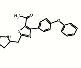 NC(=O)c1sc(CC2CCCN2)nc1-c1ccc(Oc2ccccc2)cc1